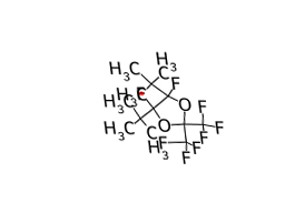 CC(C)(C)C1(F)OC(C(F)(F)F)(C(F)(F)F)OC1(F)C(C)(C)C